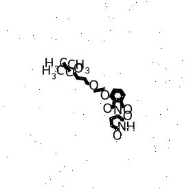 CC(C)(C)OC(=O)CCCOCCOc1cccc2c1C(=O)N(C1CCC(=O)NC1=O)C2=O